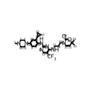 CN1CCN(c2ccc(Nc3ncc(C(F)(F)F)c(NCCCN4C=CC(C)(C)OC4=O)n3)c(C3CC3)c2)CC1